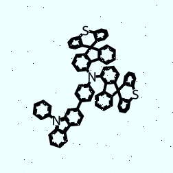 c1ccc(-n2c3ccccc3c3ccc(-c4ccc(N(c5cccc6c5-c5ccccc5C65c6ccccc6Sc6ccccc65)c5cccc6c5-c5ccccc5C65c6ccccc6Sc6ccccc65)cc4)cc32)cc1